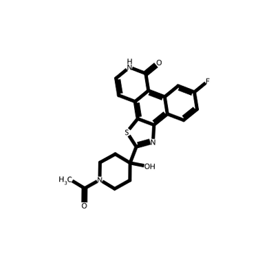 CC(=O)N1CCC(O)(c2nc3c4ccc(F)cc4c4c(=O)[nH]ccc4c3s2)CC1